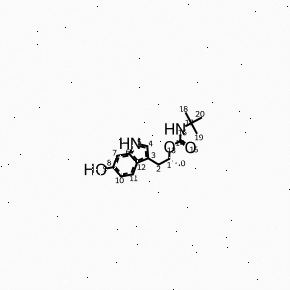 C[C@H](Cc1c[nH]c2cc(O)ccc12)OC(=O)NC(C)(C)C